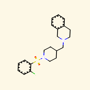 O=S(=O)(c1ccccc1Cl)N1CCC(CN2CCc3ccccc3C2)CC1